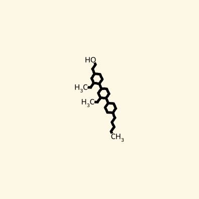 CCCCCC1CCC(C2CCC(C3CCC(CCO)CC3CC)CC2CC)CC1